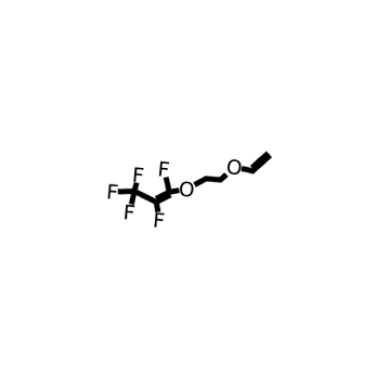 C=COCCOC(F)=C(F)C(F)(F)F